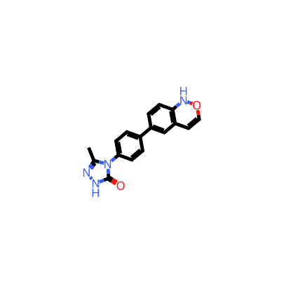 Cc1n[nH]c(=O)n1-c1ccc(-c2ccc3c(c2)C=CON3)cc1